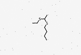 [CH2]C(SCC)SCCCC